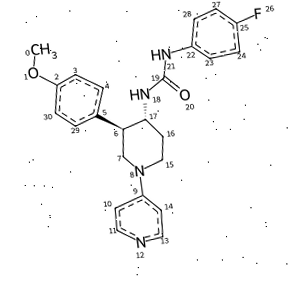 COc1ccc([C@@H]2CN(c3ccncc3)CC[C@H]2NC(=O)Nc2ccc(F)cc2)cc1